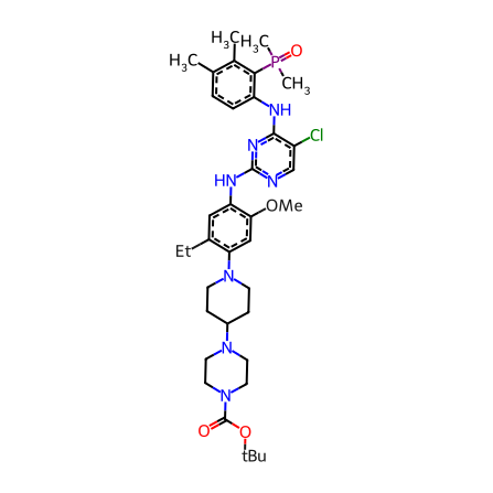 CCc1cc(Nc2ncc(Cl)c(Nc3ccc(C)c(C)c3P(C)(C)=O)n2)c(OC)cc1N1CCC(N2CCN(C(=O)OC(C)(C)C)CC2)CC1